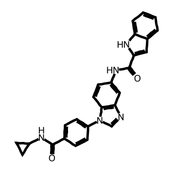 O=C(NC1CC1)c1ccc(-n2cnc3cc(NC(=O)c4cc5ccccc5[nH]4)ccc32)cc1